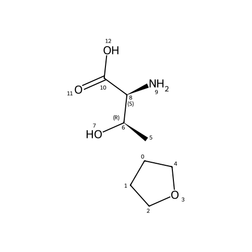 C1CCOC1.C[C@@H](O)[C@H](N)C(=O)O